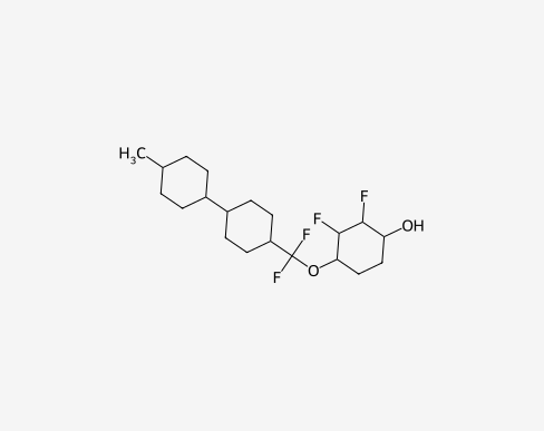 CC1CCC(C2CCC(C(F)(F)OC3CCC(O)C(F)C3F)CC2)CC1